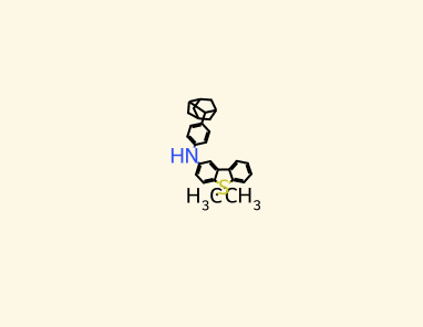 CS1(C)c2ccccc2-c2cc(Nc3ccc(C4C5CC6CC(C5)C4C6)cc3)ccc21